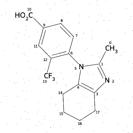 Cc1nc2c(n1-c1ccc(C(=O)O)cc1C(F)(F)F)CCCC2